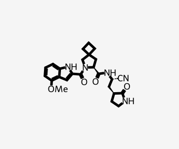 COc1cccc2[nH]c(C(=O)N3CC4(CCC4)C[C@H]3C(=O)N[C@H](C#N)C[C@@H]3CCNC3=O)cc12